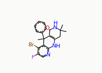 CC1(C)CC2=C(C(=O)N1)C(C)(c1ccccc1)c1c(ncc(I)c1Br)N2